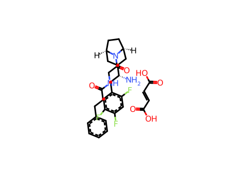 N[C@H](Cc1cc(F)c(F)cc1F)C1C[C@H]2CC[C@@H](C1)N2C(=O)CNC(=O)CCc1ccccc1.O=C(O)C=CC(=O)O